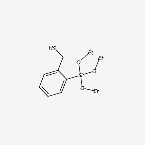 CCO[Si](OCC)(OCC)c1ccccc1CS